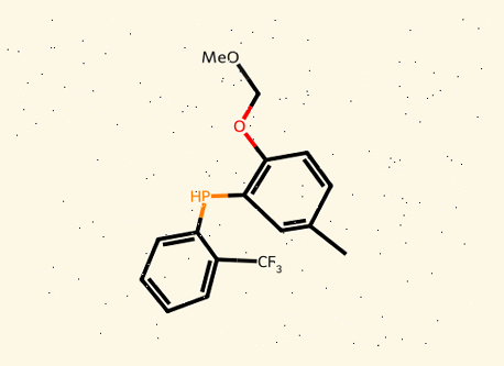 COCOc1ccc(C)cc1Pc1ccccc1C(F)(F)F